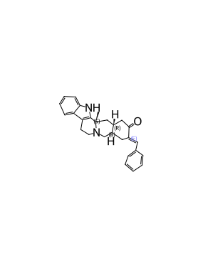 C[C@@]12C[C@@H]3CC(=O)/C(=C/c4ccccc4)C[C@H]3CN1CCc1c2[nH]c2ccccc12